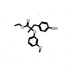 CCOC(=O)C(C)(Cc1ccc(O)cc1)Oc1cccc(OC)c1